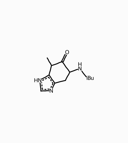 CCC(C)NC1Cc2nc[nH]c2C(C)C1=O